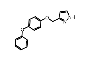 c1ccc(Oc2ccc(OCc3cc[nH]n3)cc2)cc1